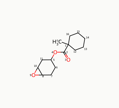 CC1(C(=O)OC2CCC3OC3C2)CCCCC1